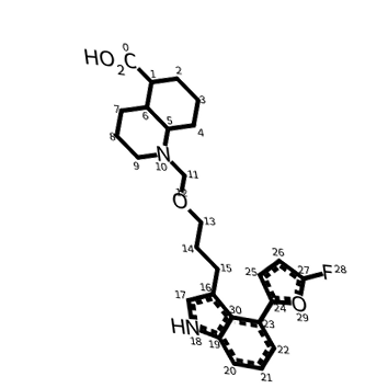 O=C(O)C1CCCC2C1CCCN2COCCCc1c[nH]c2cccc(-c3ccc(F)o3)c12